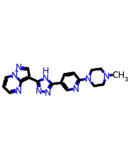 CN1CCN(c2ccc(-c3nnc(-c4cnn5cccnc45)[nH]3)cn2)CC1